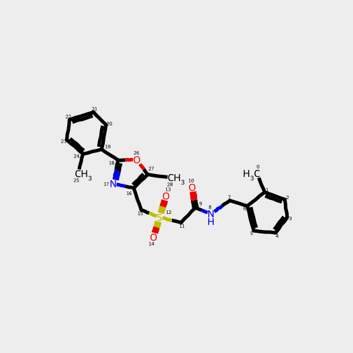 Cc1ccccc1CNC(=O)CS(=O)(=O)Cc1nc(-c2ccccc2C)oc1C